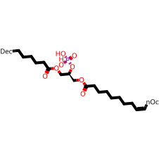 CCCCCCCC/C=C\CCCCCCCC(=O)OC[C@@H](COC(=O)CCCCCCCCCCCCCCC)OP(=O)(O)O